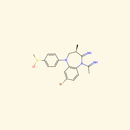 CC(=N)N1C(=N)[C@H](C)CN(c2ccc([S+](C)[O-])cc2)c2cc(Br)ccc21